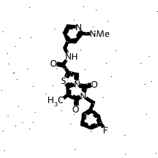 CNc1cc(CNC(=O)c2cn3c(=O)n(Cc4cccc(F)c4)c(=O)c(C)c3s2)ccn1